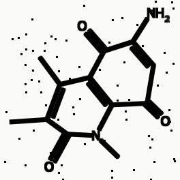 Cc1c2c(n(C)c(=O)c1C)C(=O)C=C(N)C2=O